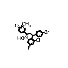 Cn1cc(/C(CC(c2ccc(Br)cc2)c2ccc(F)cc2Cl)=N\O)ccc1=O